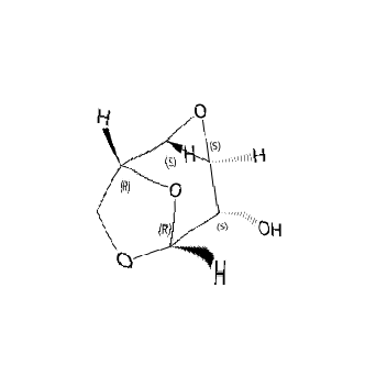 O[C@@H]1[C@@H]2OC[C@@H](O2)[C@@H]2O[C@@H]12